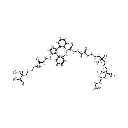 CCNC(CCCCNC(=O)OCCn1nnc2c1-c1ccccc1CN(C(=O)CCNC(=O)CCOCC(C)(C)COCC(C)(C)COCCOC)c1ccccc1-2)C(=O)C(C)C